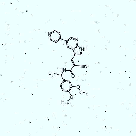 COc1ccc([C@@H](C)NC(=O)/C(C#N)=C/c2c[nH]c3ncc(-c4ccncc4)cc23)cc1OC